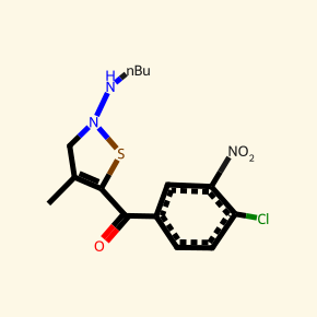 CCCCNN1CC(C)=C(C(=O)c2ccc(Cl)c([N+](=O)[O-])c2)S1